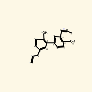 C=CCc1ccc(O)c(-c2ccc(O)c(/C=C\C)c2)c1